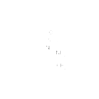 C=CC(N)N=S(=O)(c1ccccc1)c1ccccc1